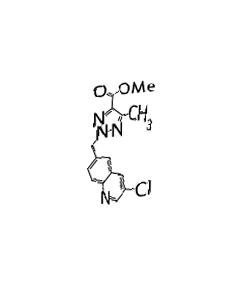 COC(=O)c1nn(Cc2ccc3ncc(Cl)cc3c2)nc1C